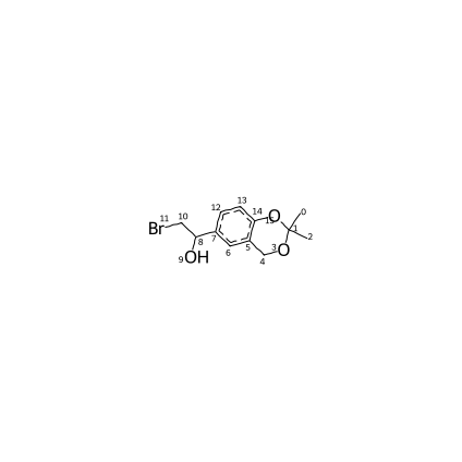 CC1(C)OCc2cc(C(O)CBr)ccc2O1